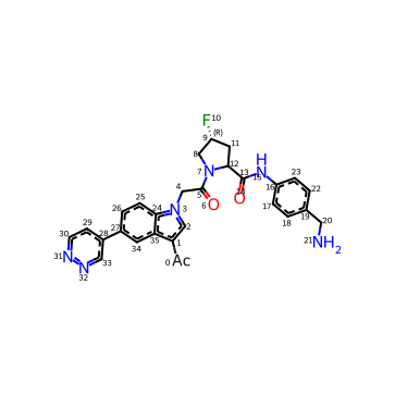 CC(=O)c1cn(CC(=O)N2C[C@H](F)CC2C(=O)Nc2ccc(CN)cc2)c2ccc(-c3ccnnc3)cc12